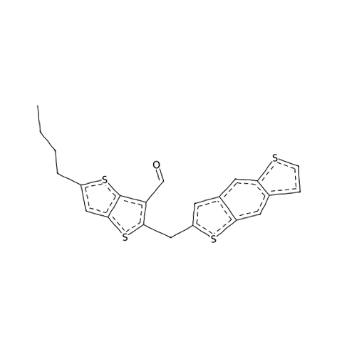 CCCCc1cc2sc(Cc3cc4cc5sccc5cc4s3)c(C=O)c2s1